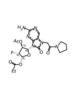 CCC(=O)O[C@H]1O[C@@H](n2c(=O)n(CC(=O)N3CCCC3)c3cnc(N)nc32)[C@H](OC(C)=O)[C@H]1F